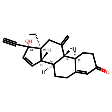 C#C[C@]1(O)C=C[C@H]2[C@@H]3CCC4=CC(=O)CC[C@@H]4[C@H]3C(=C)C[C@@]21CC